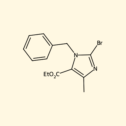 CCOC(=O)c1c(C)nc(Br)n1Cc1ccccc1